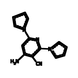 N#Cc1c(N)cc(-n2cccc2)nc1-n1cccc1